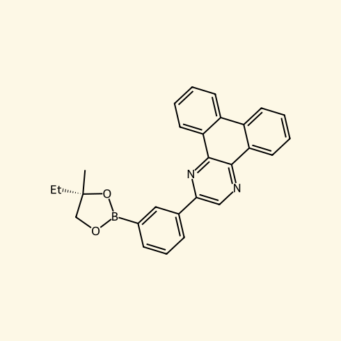 CC[C@@]1(C)COB(c2cccc(-c3cnc4c5ccccc5c5ccccc5c4n3)c2)O1